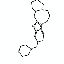 C1=c2nc3n(c2=CCC1CN1CCOCC1)CCCN1CCCCC1C3